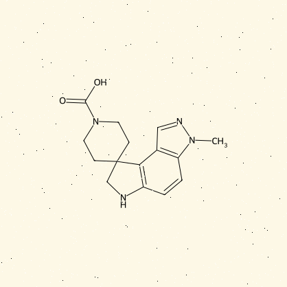 Cn1ncc2c3c(ccc21)NCC31CCN(C(=O)O)CC1